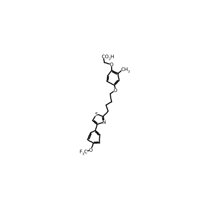 Cc1cc(OCCCCc2nc(-c3ccc(OC(F)(F)F)cc3)cs2)ccc1OCC(=O)O